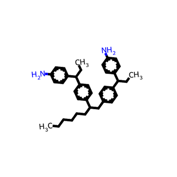 CCCCCCC(Cc1ccc(C(CC)c2ccc(N)cc2)cc1)c1ccc(C(CC)c2ccc(N)cc2)cc1